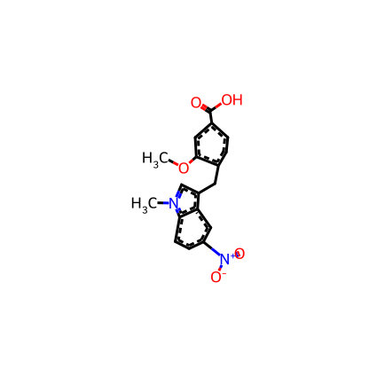 COc1cc(C(=O)O)ccc1Cc1cn(C)c2ccc([N+](=O)[O-])cc12